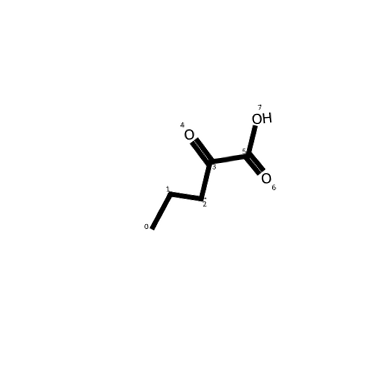 CC[CH]C(=O)C(=O)O